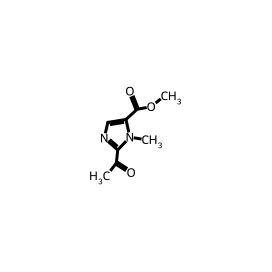 COC(=O)c1cnc(C(C)=O)n1C